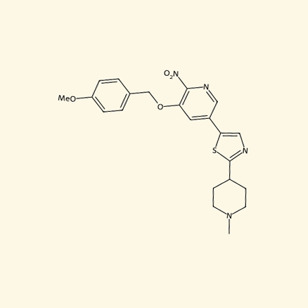 COc1ccc(COc2cc(-c3cnc(C4CCN(C)CC4)s3)cnc2[N+](=O)[O-])cc1